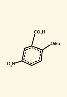 CC(C)COc1ccc([N+](=O)[O-])cc1C(=O)O